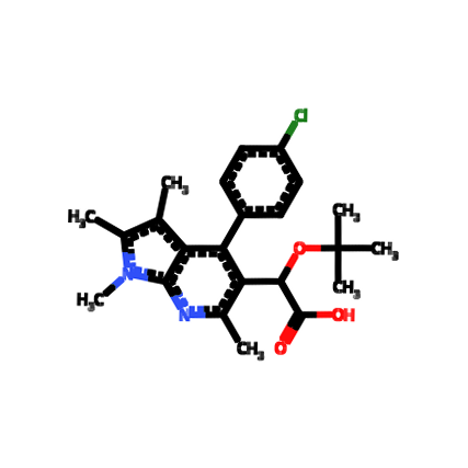 Cc1nc2c(c(C)c(C)n2C)c(-c2ccc(Cl)cc2)c1C(OC(C)(C)C)C(=O)O